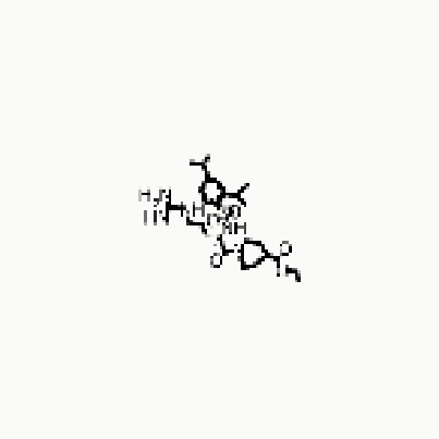 CCOC(=O)C1CCN(C(=O)[C@H](CCCNC(=N)N)NS(=O)(=O)c2ccc(C(C)C)cc2C(C)C)CC1